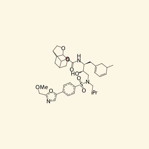 COCc1ncc(-c2ccc(S(=O)(=O)N(CC(C)C)C[C@@H](O)[C@H](CC3=CC=CC(C)C3)NC(=O)OC3C4COC5OCC3C5C4)cc2)o1